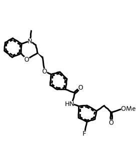 COC(=O)Cc1cc(F)cc(NC(=O)c2ccc(OC[C@@H]3CN(C)c4ccccc4O3)cc2)c1